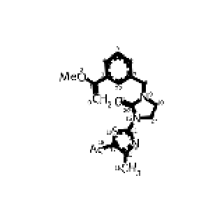 C=C(OC)c1cccc(CN2CCN(c3nc(C)c(C(C)=O)s3)C2=O)c1